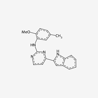 COc1ccc(C)cc1Nc1nccc(-c2cc3ccccc3[nH]2)n1